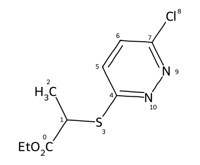 CCOC(=O)C(C)Sc1ccc(Cl)nn1